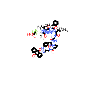 CC[C@H](C)[C@H](NC(=O)[C@H](Cc1ccccc1)NC(=O)[C@H](CC(C)C)NC(=O)[C@@H](C)N)C(=O)NCC(=O)N[C@@H](Cc1ccccc1)C(=O)N1CCC[C@@H]1C(=O)NCCCNc1cccc2c1C(=O)c1ccccc1C2=O.O=C(O)C(F)(F)F